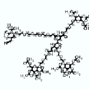 CC(=O)NC1CC(OC(C)=O)C(COC(C)=O)OC1OCCOCCNC(=O)C(CCC(=O)NC(CCC(=O)NCCOCCOC1OC(COC(C)=O)C(OC(C)=O)C(OC(C)=O)C1NC(C)=O)C(=O)NCCOCCOC1OC(COC(C)=O)C(OC(C)=O)C(OC(C)=O)C1NC(C)=O)NC(=O)CCOCCOCCOCCOCCOP(OCCC#N)N(C(C)C)C(C)C